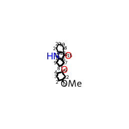 COc1cccc(Oc2ccc3[nH]c4c(c(=O)c3c2)CCCC4)c1